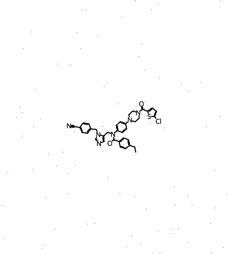 CCc1ccc(C(=O)N(Cc2cncn2Cc2ccc(C#N)cc2)c2ccc(N3CCN(C(=O)c4ccc(Cl)s4)CC3)cc2)cc1